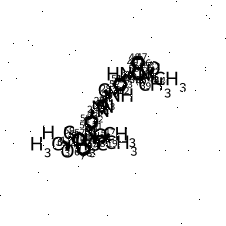 CCC(=O)N1c2ccccc2[C@H](N(C(=O)OC(C)(C)C)c2ccc(Cn3cc(C(=O)Nc4ccc(N[C@@H]5C[C@H](C)N(C(=O)CC)c6ccccc65)cc4)nn3)cc2)C[C@@H]1C